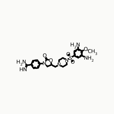 COc1c(N)cc(S(=O)(=O)N2CCN(CC3CN(c4ccc(C(=N)N)cc4)C(=O)O3)CC2)cc1N